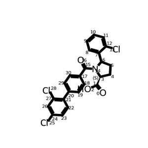 O=C(O)[C@@H]1CCC(c2ccccc2Cl)N1C(=O)c1ccc(-c2ccc(Cl)cc2Cl)cc1